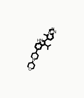 Cc1c(-c2[nH]c3ccc(C4CCN(C5CCOCC5)CC4)cc3c2C(C)C)ccc2nncn12